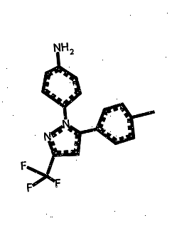 Cc1ccc(-c2cc(C(F)(F)F)nn2-c2ccc(N)cc2)cc1